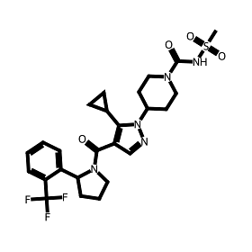 CS(=O)(=O)NC(=O)N1CCC(n2ncc(C(=O)N3CCCC3c3ccccc3C(F)(F)F)c2C2CC2)CC1